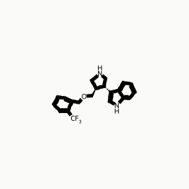 FC(F)(F)c1ccccc1COC[C@H]1CNC[C@@H]1c1c[nH]c2ccccc12